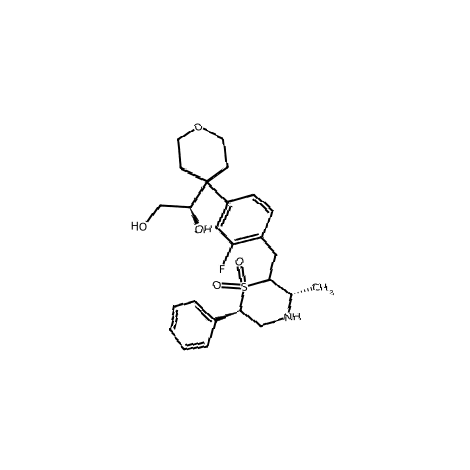 C[C@@H]1NC[C@@H](c2ccccc2)S(=O)(=O)C1Cc1ccc(C2([C@@H](O)CO)CCOCC2)cc1F